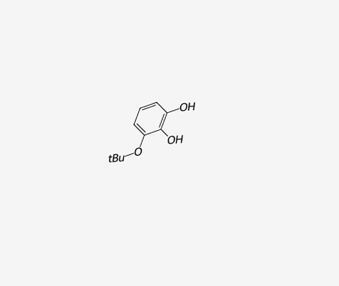 CC(C)(C)Oc1cccc(O)c1O